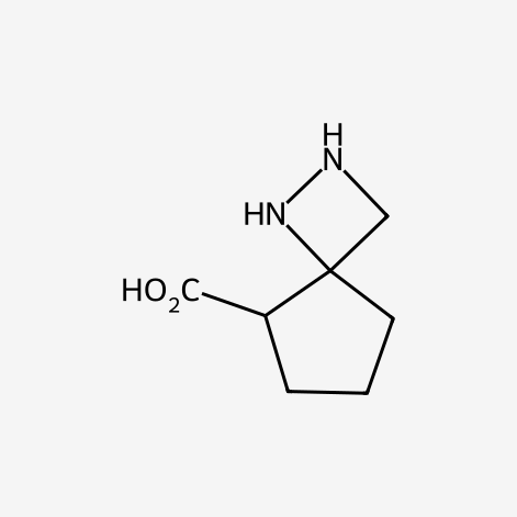 O=C(O)C1CCCC12CNN2